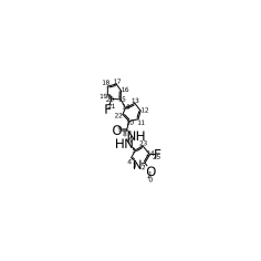 COc1ncc(NNC(=O)c2cccc(-c3ccccc3F)c2)cc1F